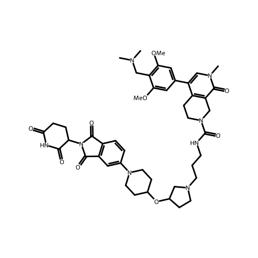 COc1cc(-c2cn(C)c(=O)c3c2CCN(C(=O)NCCCN2CCC(OC4CCN(c5ccc6c(c5)C(=O)N(C5CCC(=O)NC5=O)C6=O)CC4)C2)C3)cc(OC)c1CN(C)C